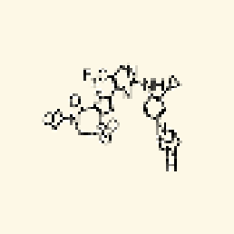 O=C1c2sc(-c3nc(Nc4ccc(N5C6CNCC5C6)cc4C4CC4)ncc3C(F)(F)F)cc2S(=O)(=O)CCN1C1COC1